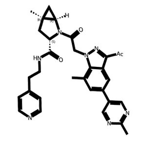 CC(=O)c1nn(CC(=O)N2[C@H](C(=O)NCCc3ccncc3)C[C@@]3(C)C[C@@H]23)c2c(C)cc(-c3cnc(C)nc3)cc12